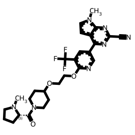 CN1CCC[C@H]1C(=O)N1CCC(OCCOc2ncc(-c3nc(C#N)nc4c3ccn4C)cc2C(F)(F)F)CC1